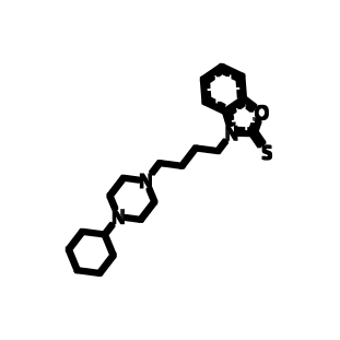 S=c1oc2ccccc2n1CCCCN1CCN(C2CCCCC2)CC1